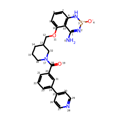 NC1=N[S+]([O-])Nc2cccc(OCC3CCCN(C(=O)c4cccc(-c5ccncc5)c4)C3)c21